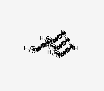 CCOC(=O)N1CCC2(CC(N3CCC(c4ncco4)CC3)C2)C1.CCOC(=O)N1CCC2(CC(N3CCC(c4nccs4)CC3)C2)C1.CCOC(=O)N1CCC2(CC(N3CCC(c4nnc[nH]4)CC3)C2)C1.COC(=O)N1CCC2(CC(N3CCC(c4nccs4)CC3)C2)C1